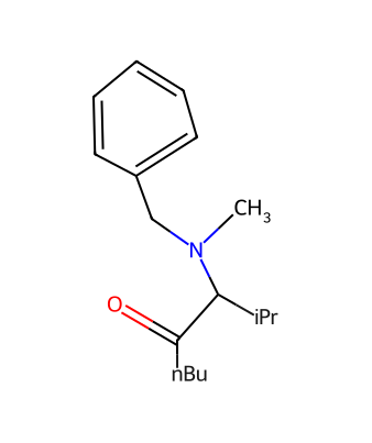 CCCCC(=O)C(C(C)C)N(C)Cc1ccccc1